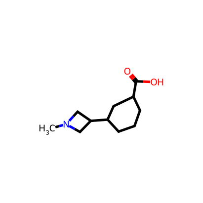 CN1CC(C2CCCC(C(=O)O)C2)C1